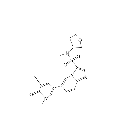 Cc1cc(-c2ccc3ncc(S(=O)(=O)N(C)C4CCOC4)n3c2)cn(C)c1=O